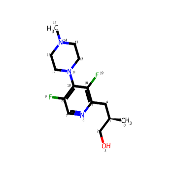 C[C@@H](CO)Cc1ncc(F)c(N2CCN(C)CC2)c1F